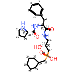 O=C(N[C@@H](Cc1ccccc1)C(=O)NC[C@@H](O)CP(=O)(O)CC1CCCCC1)[C@@H]1CCCN1